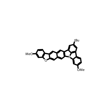 COc1ccc2c(c1)oc1cc3cc4c(cc3cc12)c1cc(C(C)(C)C)cc2c3ccc(OC)cc3n4c21